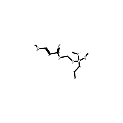 CCC[Si](OC)(OC)OCOC(=O)C=COC